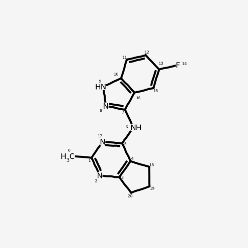 Cc1nc2c(c(Nc3n[nH]c4ccc(F)cc34)n1)CCC2